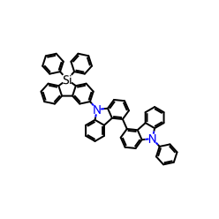 c1ccc(-n2c3ccccc3c3c(-c4cccc5c4c4ccccc4n5-c4ccc5c(c4)-c4ccccc4[Si]5(c4ccccc4)c4ccccc4)cccc32)cc1